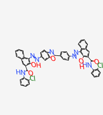 O=C(Nc1ccccc1Cl)c1cc2ccccc2c(/N=N/c2ccc(-c3nc4ccc(/N=N/c5c(O)c(C(=O)Nc6ccccc6Cl)cc6ccccc56)cc4o3)cc2)c1O